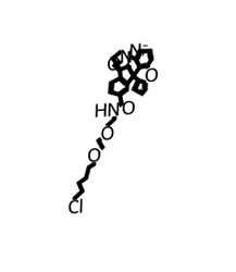 [N-]=[N+]=C1C(=O)c2ccc(C(=O)NCCOCCOCCCCCCCl)cc2C12c1ccccc1Oc1cccc(N3CCC3)c12